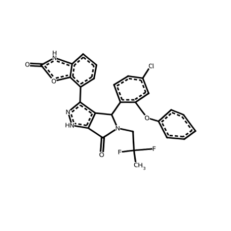 CC(F)(F)CN1C(=O)c2[nH]nc(-c3cccc4[nH]c(=O)oc34)c2C1c1ccc(Cl)cc1Oc1ccccc1